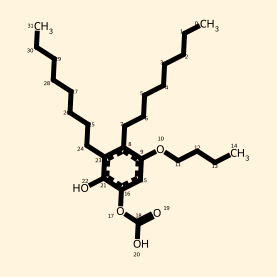 CCCCCCCCc1c(OCCCC)cc(OC(=O)O)c(O)c1CCCCCCCC